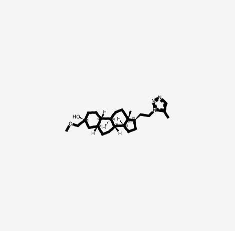 COC[C@@]1(O)CC[C@H]2[C@H](CC[C@@H]3[C@@H]2CC[C@]2(C)[C@@H](CCn4nncc4C)CC[C@@H]32)C1